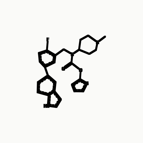 CN1CCC(N(Cc2cc(-c3ccc4[nH]ccc4c3)ccc2F)C(=O)Oc2cccs2)CC1